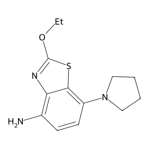 CCOc1nc2c(N)ccc(N3CCCC3)c2s1